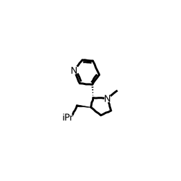 CC(C)C[C@@H]1CCN(C)[C@H]1c1cccnc1